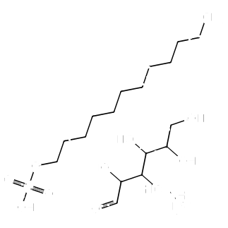 CCCCCCCCCCCCOS(=O)(=O)O.N.O=CC(O)C(O)C(O)C(O)CO.S